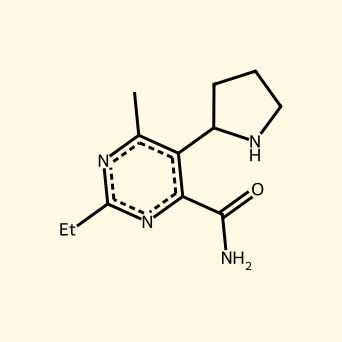 CCc1nc(C)c(C2CCCN2)c(C(N)=O)n1